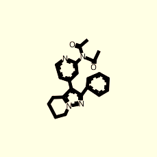 CC(=O)N(C(C)=O)c1cc(-c2c(-c3ccccc3)nn3c2CCCC3)ccn1